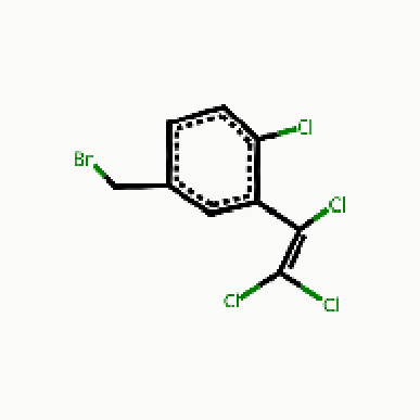 ClC(Cl)=C(Cl)c1cc(CBr)ccc1Cl